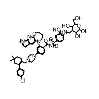 CC1(C)CCC(CN2CCN(c3ccc(C(=O)NS(=O)(=O)c4ccc(NCC5C(O)C(O)OC(CO)C5O)c([N+](=O)[O-])c4)c(N4CCCOc5nc6[nH]ccc6cc54)c3)CC2)=C(c2ccc(Cl)cc2)C1